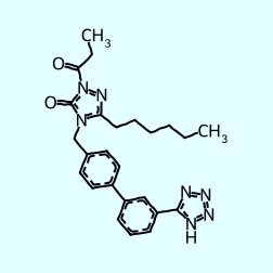 CCCCCCc1nn(C(=O)CC)c(=O)n1Cc1ccc(-c2cccc(-c3nnn[nH]3)c2)cc1